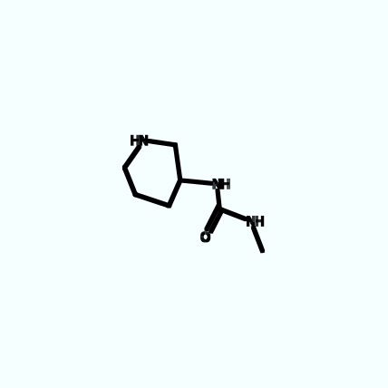 CNC(=O)NC1CCCNC1